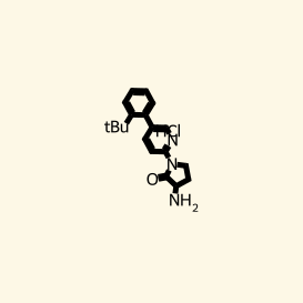 CC(C)(C)c1ccccc1-c1ccc(N2CCC(N)C2=O)nc1.Cl